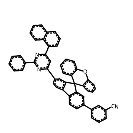 N#Cc1cccc(-c2ccc3c(c2)C2(c4ccccc4Oc4ccccc42)c2cc(-c4cc(-c5cccc6ccccc56)nc(-c5ccccc5)n4)ccc2-3)c1